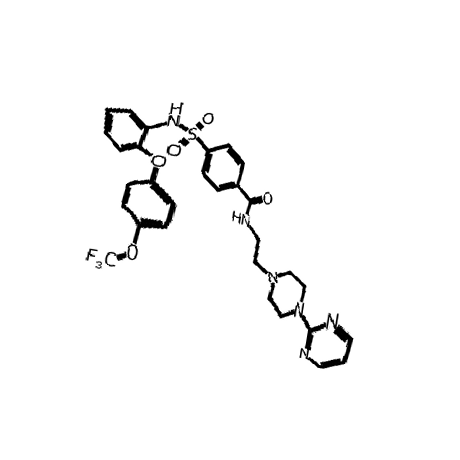 O=C(NCCN1CCN(c2ncccn2)CC1)c1ccc(S(=O)(=O)Nc2ccccc2Oc2ccc(OC(F)(F)F)cc2)cc1